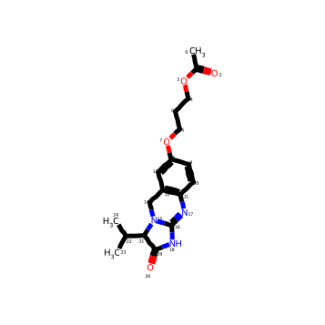 CC(=O)OCCCOc1ccc2c(c1)CN1C(=N2)NC(=O)C1C(C)C